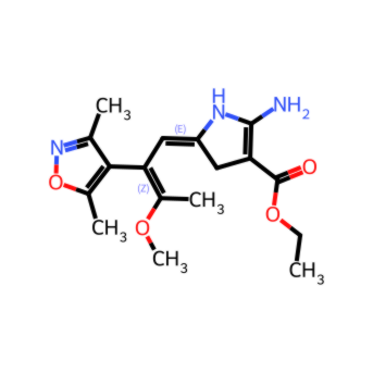 CCOC(=O)C1=C(N)N/C(=C/C(=C(\C)OC)c2c(C)noc2C)C1